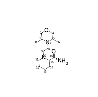 CC1COCC(C)N1CCN1CCCCC1C(N)=O